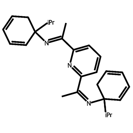 CC(=NC1(C(C)C)C=CC=CC1)c1cccc(C(C)=NC2(C(C)C)C=CC=CC2)n1